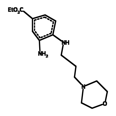 CCOC(=O)c1ccc(NCCCN2CCOCC2)c(N)c1